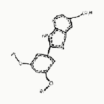 CC(C)Oc1cc(OC(C)C)cc(-c2nc3cc(C(=O)O)cnc3[nH]2)c1